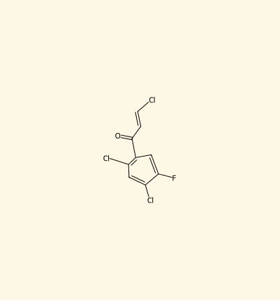 O=C(C=CCl)c1cc(F)c(Cl)cc1Cl